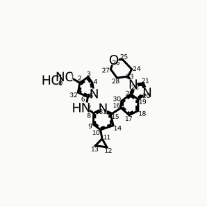 Cl.N#Cc1ccnc(Nc2cc(C3CC3)cc(-c3ccc4ncn(C5CCOCC5)c4c3)n2)c1